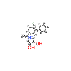 CC(C)[N+](CCO)(CCO)c1ccc(Cl)c(-c2ccccc2)c1